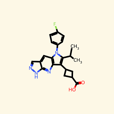 CC(C)c1c(C2CC(C(=O)O)C2)c2nc3[nH]ncc3cc2n1-c1ccc(F)cc1